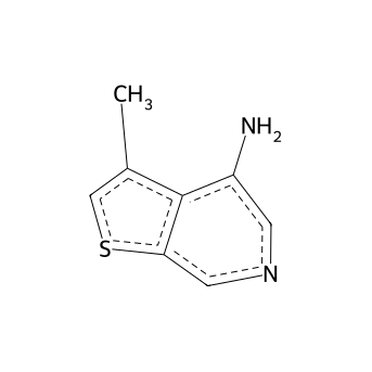 Cc1csc2cncc(N)c12